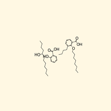 CCCCCCCC(O)CCCC.CCCCCCCCOc1c(CCCC)cccc1C(=O)O.O=C(O)c1ccccc1O